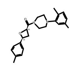 Cc1ccc([C@@H]2C[C@H](C(=O)N3CCN(c4cc(C)ccc4C)CC3)O2)cc1